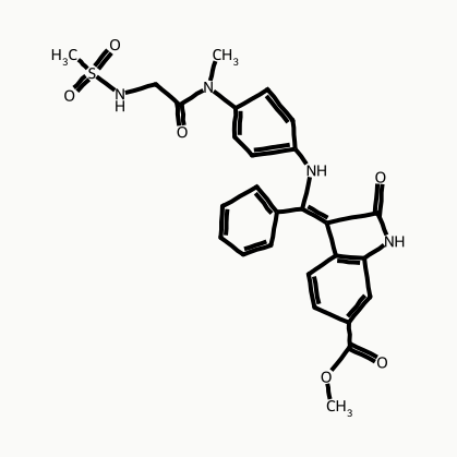 COC(=O)c1ccc2c(c1)NC(=O)/C2=C(\Nc1ccc(N(C)C(=O)CNS(C)(=O)=O)cc1)c1ccccc1